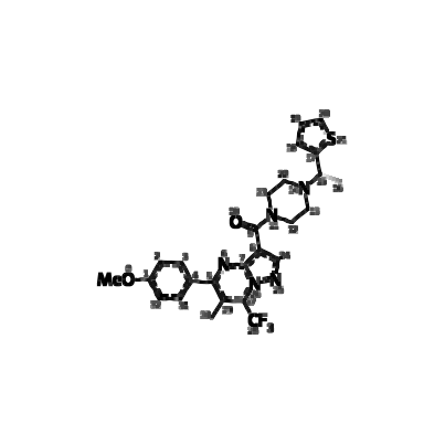 COc1ccc(-c2nc3c(C(=O)N4CCN([C@@H](C)c5cccs5)CC4)cnn3c(C(F)(F)F)c2C)cc1